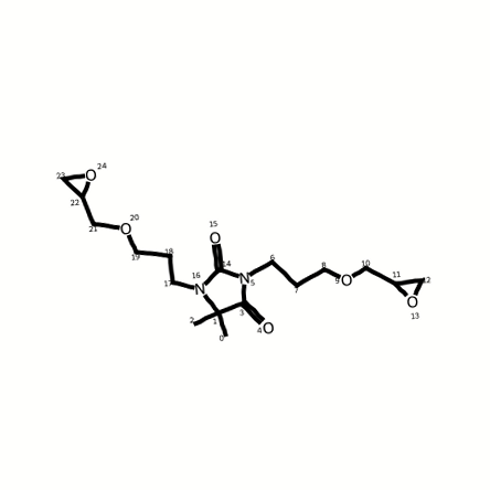 CC1(C)C(=O)N(CCCOCC2CO2)C(=O)N1CCCOCC1CO1